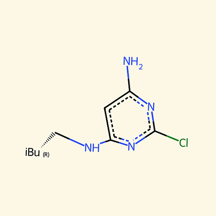 CC[C@@H](C)CNc1cc(N)nc(Cl)n1